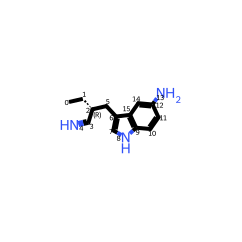 CC[C@@H](C=N)Cc1c[nH]c2ccc(N)cc12